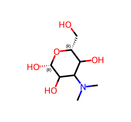 CN(C)C1C(O)[C@H](O)O[C@H](CO)C1O